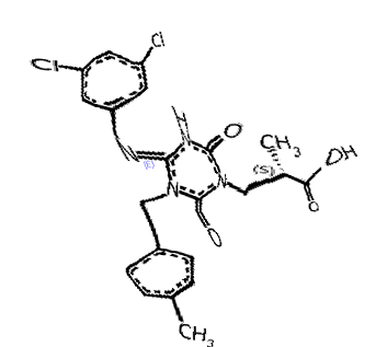 Cc1ccc(Cn2c(=O)n(C[C@H](C)C(=O)O)c(=O)[nH]/c2=N\c2cc(Cl)cc(Cl)c2)cc1